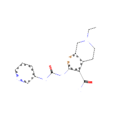 CCN1CCc2c(sc(NC(=O)Nc3cccnc3)c2C(N)=O)C1